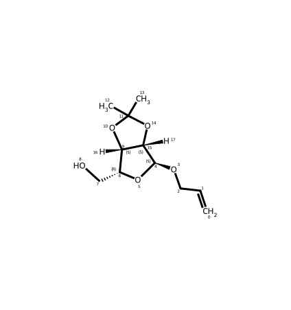 C=CCO[C@H]1O[C@H](CO)[C@@H]2OC(C)(C)O[C@H]12